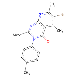 CSc1nc2nc(C)c(Br)c(C)c2c(=O)n1-c1ccc(C)cc1